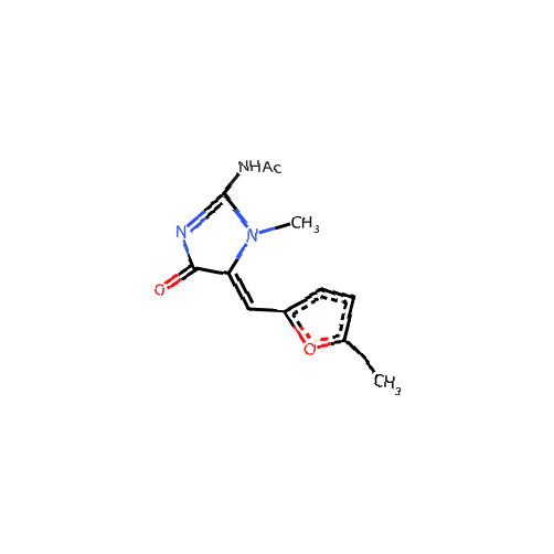 CC(=O)NC1=NC(=O)/C(=C/c2ccc(C)o2)N1C